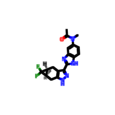 CC(=O)N(C)c1ccc2[nH]c(-c3n[nH]c4c3C[C@@H]3C(F)(F)[C@]3(C)C4)nc2c1